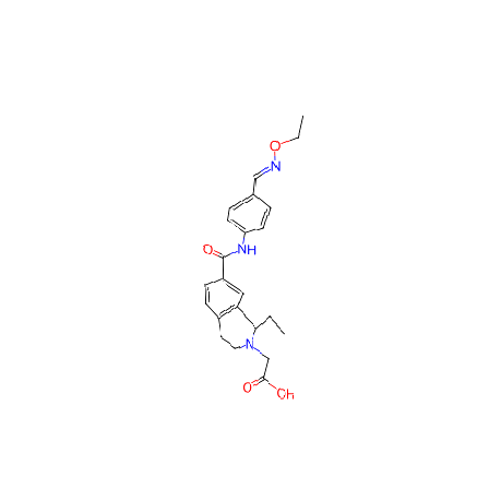 CCON=Cc1ccc(NC(=O)c2ccc3c(c2)C(CC)N(CC(=O)O)CC3)cc1